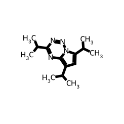 CC(C)c1nnn2c(C(C)C)cc(C(C)C)c2n1